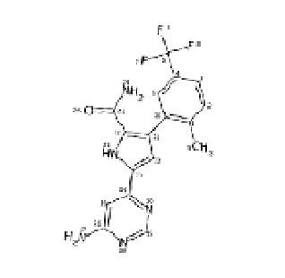 Cc1ccc(C(F)(F)F)cc1-c1cc(-c2cc(N)ncn2)[nH]c1C(N)=O